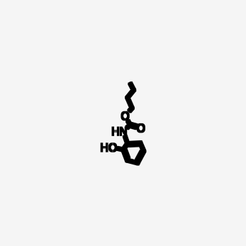 CCCCOC(=O)Nc1ccccc1O